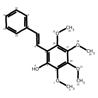 COc1c(O)c(C=Cc2ccccc2)c(OC)c(OC)c1OC